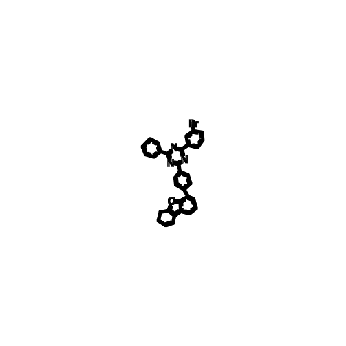 Brc1cccc(-c2nc(-c3ccccc3)nc(-c3ccc(-c4cccc5c6c(oc45)CCC=C6)cc3)n2)c1